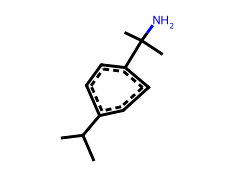 CC(C)c1ccc(C(C)(C)N)cc1